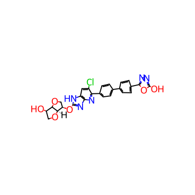 Oc1nnc(-c2ccc(-c3ccc(-c4nc5nc(O[C@@H]6COC7[C@H](O)CO[C@@H]76)[nH]c5cc4Cl)cc3)cc2)o1